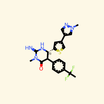 CN1C(=N)N[C@H](c2cc(-c3cnn(C)c3)cs2)C(c2ccc(C(C)(F)F)cc2)C1=O